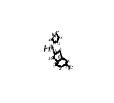 Fc1ccc2c(c1)CC(Nc1cccnc1)C2